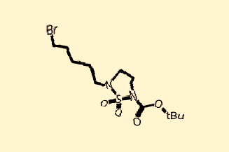 CC(C)(C)OC(=O)N1CCN(CCCCCBr)S1(=O)=O